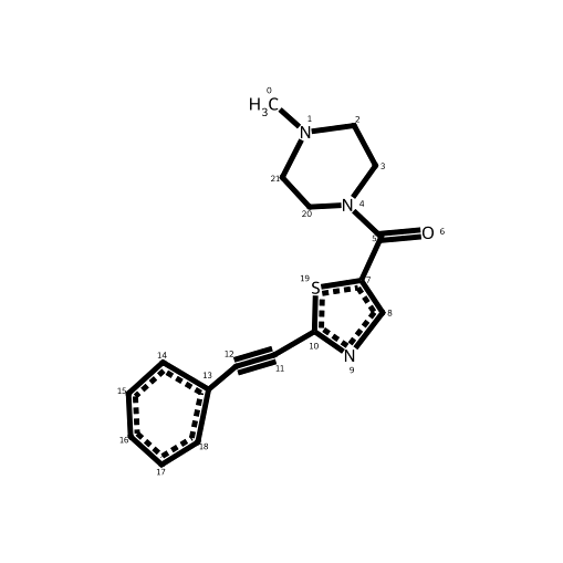 CN1CCN(C(=O)c2cnc(C#Cc3ccccc3)s2)CC1